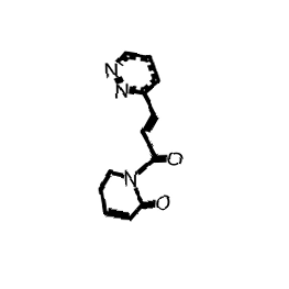 O=C1C=CCCN1C(=O)C=Cc1cccnn1